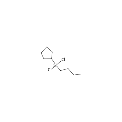 CCCC[Si](Cl)(Cl)C1CCCC1